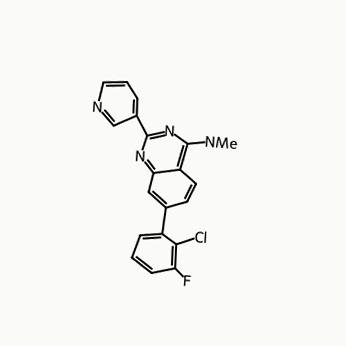 CNc1nc(-c2cccnc2)nc2cc(-c3cccc(F)c3Cl)ccc12